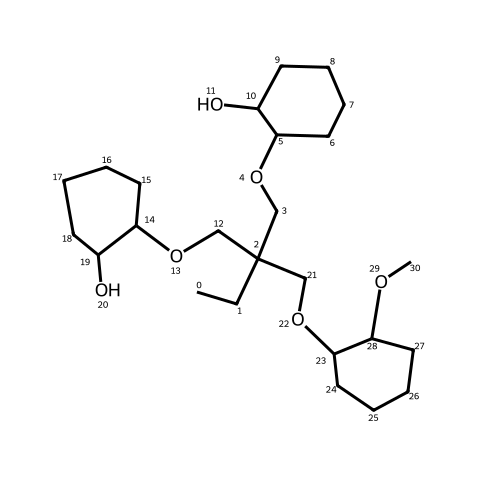 CCC(COC1CCCCC1O)(COC1CCCCC1O)COC1CCCCC1OC